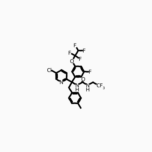 Cc1ccc(CC(NC(=O)NCC(F)(F)F)(c2cc(F)cc(OC(F)(F)C(F)F)c2)c2ccc(Cl)cn2)cc1